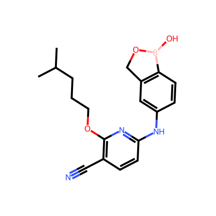 CC(C)CCCOc1nc(Nc2ccc3c(c2)COB3O)ccc1C#N